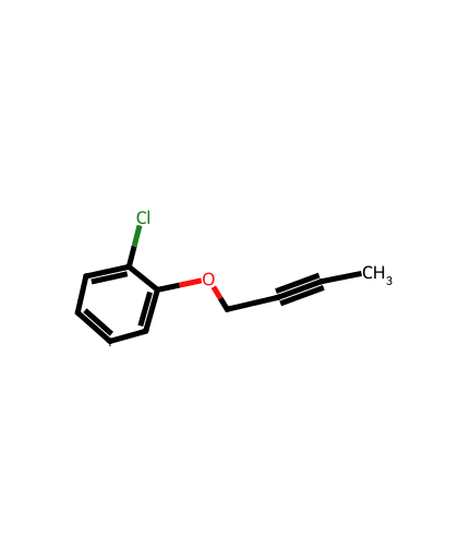 CC#CCOc1c[c]ccc1Cl